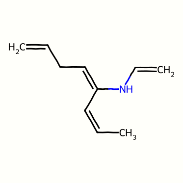 C=CC/C=C(\C=C/C)NC=C